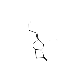 O=C(O)[C@H]1C(=CCO)O[C@@H]2CC(=O)N12.[KH]